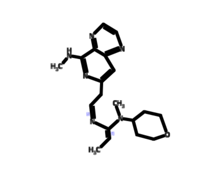 C/C=C(\N=C/Cc1cc2nccnc2c(NC)n1)N(C)C1CCOCC1